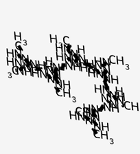 CCNC1=NC(NCCNC2=NC(NCC)NC(NC)N2)NC(NCCNC2NC(NCCNC3NC(NCCNC4=NC(NCCNc5nc(NC)nc(NCC)n5)=NC(NCC)N4)=NC(NCC)N3)=NC(NCC)N2)=N1